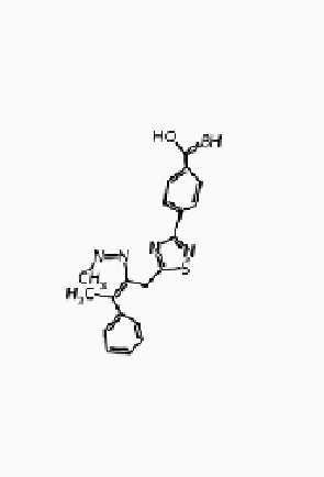 B=C(O)c1ccc(-c2nsc(CC(/N=N\C)=C(/C)c3ccccc3)n2)cc1